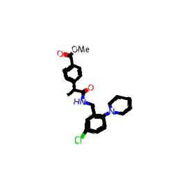 COC(=O)c1ccc(C(C)C(=O)NCc2cc(Cl)ccc2N2CCCCC2)cc1